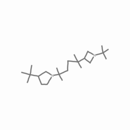 CC(C)(C)C1CCN(C(C)(C)CCC(C)(C)C2CN(C(C)(C)C)C2)C1